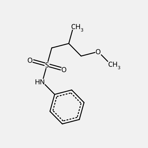 COCC(C)CS(=O)(=O)Nc1ccccc1